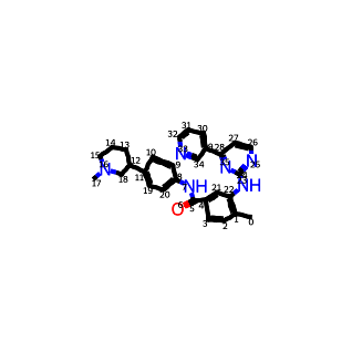 Cc1ccc(C(=O)Nc2ccc(C3CCCN(C)C3)cc2)cc1Nc1nccc(-c2cccnc2)n1